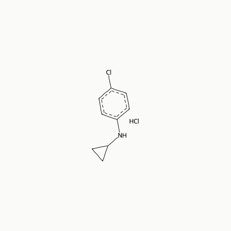 Cl.Clc1ccc(NC2CC2)cc1